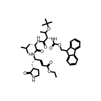 CCOC(=O)/C=C/[C@H](C[C@@H]1CCNC1=O)NC(=O)[C@H](CC(C)C)NC(=O)[C@@H](NC(=O)OCC1c2ccccc2-c2ccccc21)C(C)OC(C)(C)C